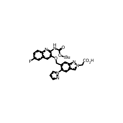 CC(C)(C)OC(=O)Nc1nc2ccc(F)cc2cc1OCc1cc2nn(CC(=O)O)cc2cc1-n1cccn1